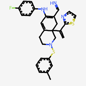 C=C(c1nccs1)C12CC(C=N)=C(Nc3ccc(F)cc3)C=C1CCN(Sc1cccc(C)c1)C2